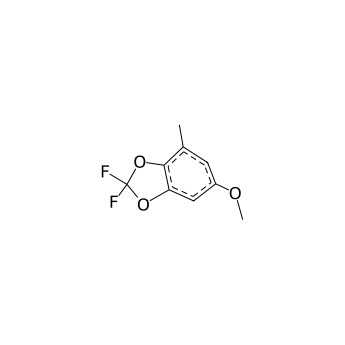 COc1cc(C)c2c(c1)OC(F)(F)O2